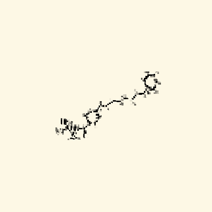 N=C(N)C1(NC(=O)c2ccc(CCCCCCCCc3ccccc3)cc2)CC1